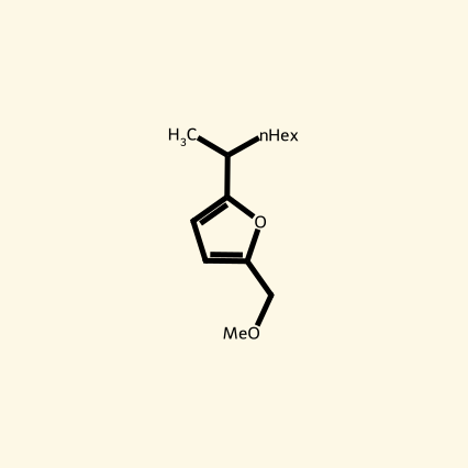 CCCCCCC(C)c1ccc(COC)o1